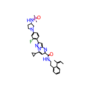 C/C=C(/C)c1ccccc1CCNC(=O)c1cc(C2CC2)n2nc(-c3ccc(N4CC[C@@H](NP(C)(C)=O)C4)cc3F)cc2n1